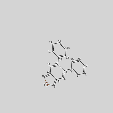 c1ccc(-c2cc3cscc3cc2-c2ccccc2)cc1